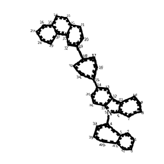 c1ccc2c(-n3c4ccccc4c4cc(-c5ccc(-c6ccc7ccc8ccccc8c7c6)cc5)ccc43)cccc2c1